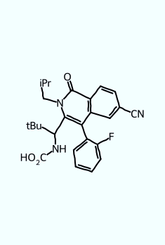 CC(C)Cn1c(C(NC(=O)O)C(C)(C)C)c(-c2ccccc2F)c2cc(C#N)ccc2c1=O